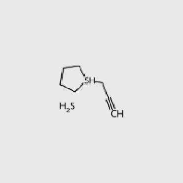 C#CC[SH]1CCCC1.S